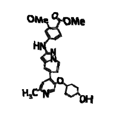 COC(=O)c1ccc(Nc2cc3cc(-c4cc(C)ncc4OC4CCC(O)CC4)ccn3n2)cc1OC